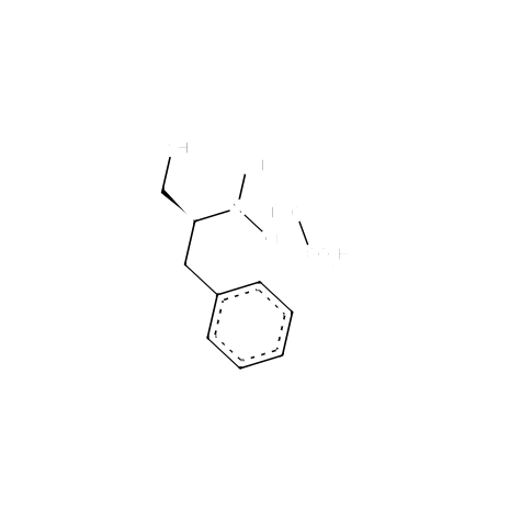 CC(=O)O.CN(C)[C@H](CS)Cc1ccccc1